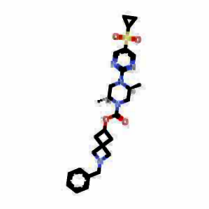 C[C@@H]1CN(c2ncc(S(=O)(=O)C3CC3)cn2)[C@@H](C)CN1C(=O)OC1CC2(C1)CN(Cc1ccccc1)C2